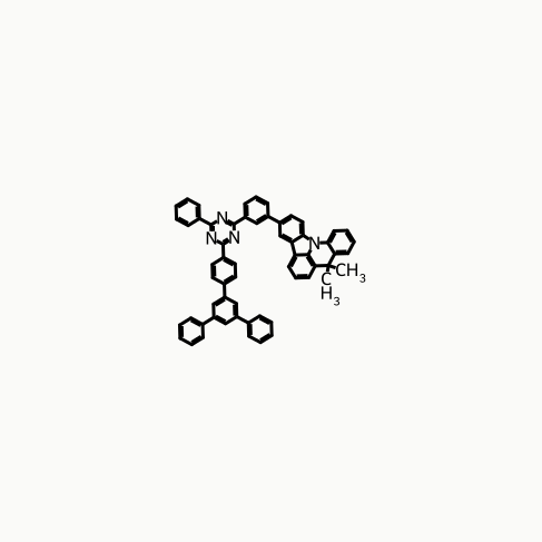 CC1(C)c2ccccc2-n2c3ccc(-c4cccc(-c5nc(-c6ccccc6)nc(-c6ccc(-c7cc(-c8ccccc8)cc(-c8ccccc8)c7)cc6)n5)c4)cc3c3cccc1c32